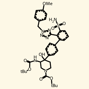 COc1ccc(Cn2nnc(-c3c(-c4ccc(C5(O)CCN(C(=O)OC(C)(C)C)CC5NC(=O)OC(C)(C)C)cc4)cccc3S(N)(=O)=O)n2)cc1